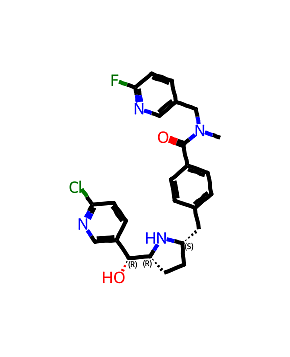 CN(Cc1ccc(F)nc1)C(=O)c1ccc(C[C@@H]2CC[C@H]([C@H](O)c3ccc(Cl)nc3)N2)cc1